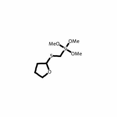 CO[Si](CSC1CCCO1)(OC)OC